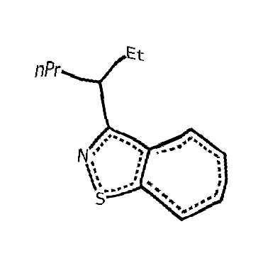 CCCC(CC)c1nsc2ccccc12